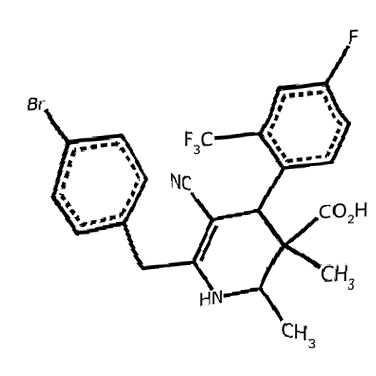 CC1NC(Cc2ccc(Br)cc2)=C(C#N)C(c2ccc(F)cc2C(F)(F)F)C1(C)C(=O)O